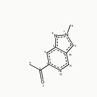 CC(=O)c1cc2nn(C)cc2cn1